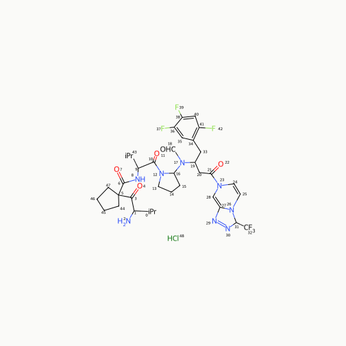 CC(C)C(N)C(=O)C1(C(=O)NC(C(=O)N2CCCC2N(C=O)C(CC(=O)N2C=CN3C(=C2)N=NC3C(F)(F)F)Cc2cc(F)c(F)cc2F)C(C)C)CCCC1.Cl